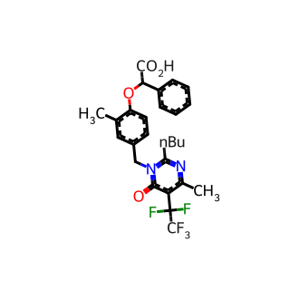 CCCCc1nc(C)c(C(F)(F)C(F)(F)F)c(=O)n1Cc1ccc(OC(C(=O)O)c2ccccc2)c(C)c1